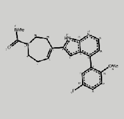 CNC(=O)N1CCC=C(c2cc3c(-c4cc(F)ccc4OC)ccnc3[nH]2)CC1